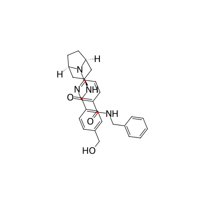 O=C(NCc1ccccc1)c1ccc(N2[C@@H]3CC[C@H]2C[C@@H](NC(=O)c2ccc(CO)cc2)C3)nc1